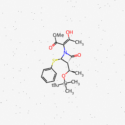 COC(=O)/C(=C(/C)O)N1C(=O)[C@H]([C@@H](C)O[Si](C)(C)C(C)(C)C)[C@H]1Sc1ccccc1